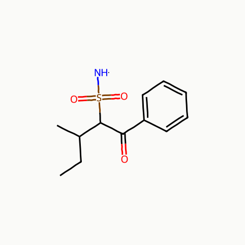 CCC(C)C(C(=O)c1ccccc1)S([NH])(=O)=O